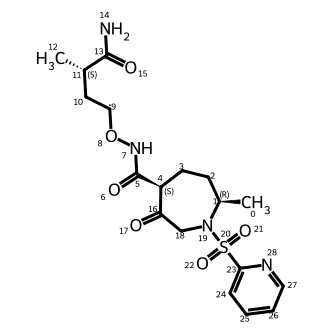 C[C@@H]1CC[C@H](C(=O)NO[CH]C[C@H](C)C(N)=O)C(=O)CN1S(=O)(=O)c1ccccn1